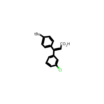 CC(C)(C)c1ccc(/C(=C\C(=O)O)c2cccc(Cl)c2)cc1